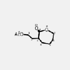 CC(=O)OCCC1CCCCOC1=O